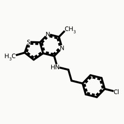 Cc1nc(NCCc2ccc(Cl)cc2)c2cc(C)sc2n1